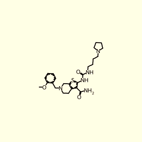 COc1ccccc1CN1CCc2c(sc(NC(=O)NCCCCN3CCCC3)c2C(N)=O)C1